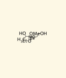 CCOCC.COCC(C)O.OCCO